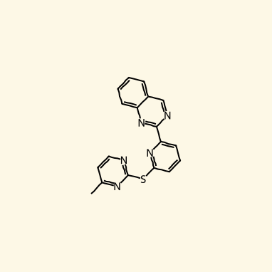 Cc1ccnc(Sc2cccc(-c3ncc4ccccc4n3)n2)n1